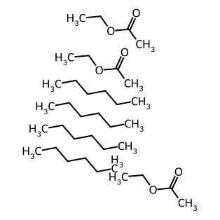 CCCCCC.CCCCCC.CCCCCC.CCCCCC.CCOC(C)=O.CCOC(C)=O.CCOC(C)=O